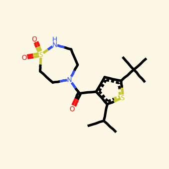 CC(C)c1sc(C(C)(C)C)cc1C(=O)N1CCNS(=O)(=O)CC1